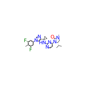 Cc1c(F)cc(-n2cnc(C3(Nc4nccc(N5C(=O)N(C)C[C@@H]5C(C)C)n4)CC3)c2)cc1F